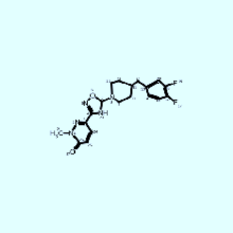 Cn1nc(C2=NOC(N3CCC(Cc4ccc(F)c(F)c4)CC3)N2)ccc1=O